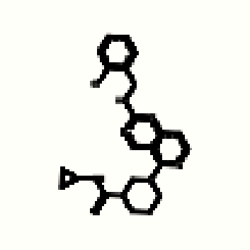 O=C(NC1CC1)C1CCCN(c2nccc3nc(NCc4ccccc4Cl)ncc23)C1